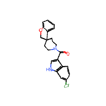 O=C(c1c[nH]c2cc(Cl)ccc12)N1CCC2(CC1)COc1ccccc12